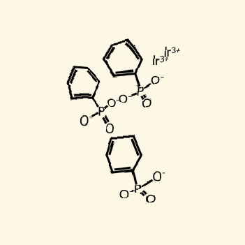 O=P([O-])([O-])c1ccccc1.O=P([O-])([O-])c1ccccc1.O=P([O-])([O-])c1ccccc1.[Ir+3].[Ir+3]